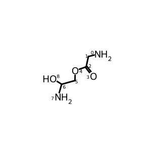 NCC(=O)OCC(N)O